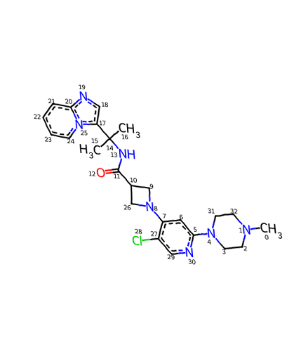 CN1CCN(c2cc(N3CC(C(=O)NC(C)(C)c4cnc5ccccn45)C3)c(Cl)cn2)CC1